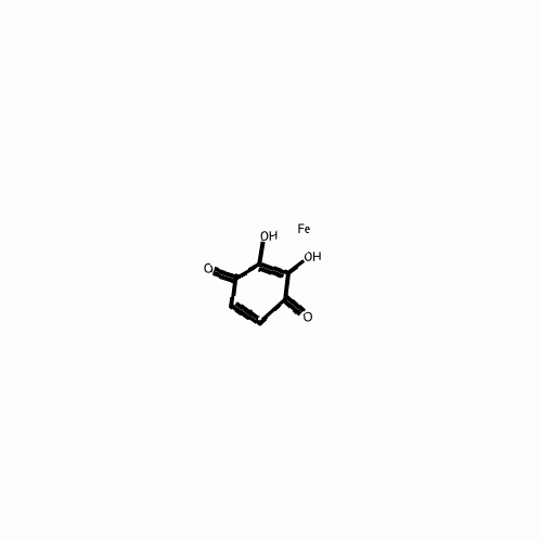 O=C1C=CC(=O)C(O)=C1O.[Fe]